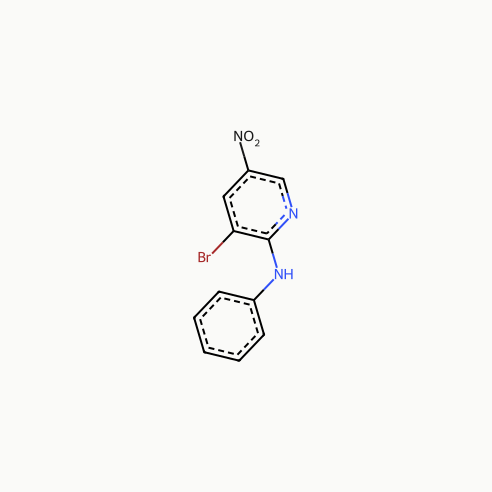 O=[N+]([O-])c1cnc(Nc2ccccc2)c(Br)c1